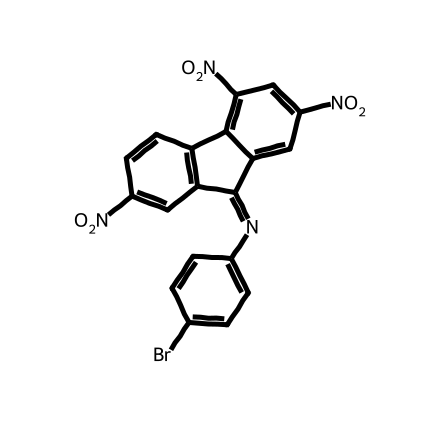 O=[N+]([O-])c1ccc2c(c1)C(=Nc1ccc(Br)cc1)c1cc([N+](=O)[O-])cc([N+](=O)[O-])c1-2